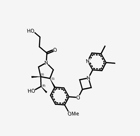 COc1ccc([C@@H]2CN(C(=O)CCO)C[C@@]2(C)[C@@H](C)O)cc1OC1CN(c2cc(C)c(C)cn2)C1